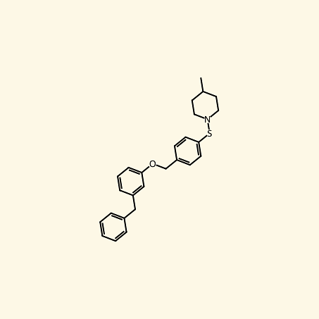 CC1CCN(Sc2ccc(COc3cccc(Cc4ccccc4)c3)cc2)CC1